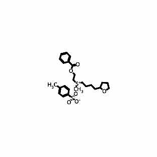 C[S+](CCCCC1CCCO1)CCOC(=O)c1ccccc1.Cc1ccc(S(=O)(=O)[O-])cc1